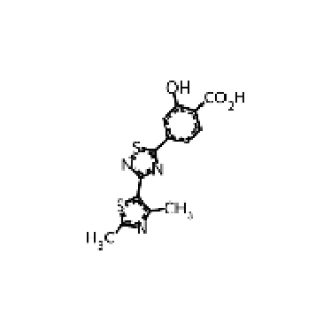 Cc1nc(C)c(-c2nsc(-c3ccc(C(=O)O)c(O)c3)n2)s1